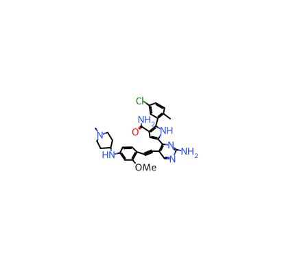 COc1cc(NC2CCN(C)CC2)ccc1C#Cc1cnc(N)nc1-c1cc(C(N)=O)c(-c2cc(Cl)ccc2C)[nH]1